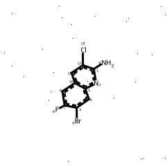 Nc1nc2cc(Br)c(F)cc2cc1Cl